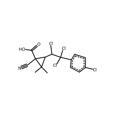 CC1(C)C(C(Cl)C(Cl)(Cl)c2ccc(Cl)cc2)C1(C#N)C(=O)O